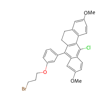 COc1ccc2c(c1)CCc1c-2c(Cl)c2ccc(OC)cc2c1-c1cccc(OCCCBr)c1